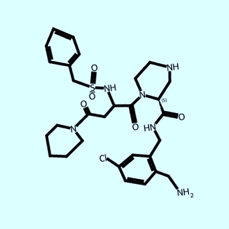 NCc1ccc(Cl)cc1CNC(=O)[C@@H]1CNCCN1C(=O)C(CC(=O)N1CCCCC1)NS(=O)(=O)Cc1ccccc1